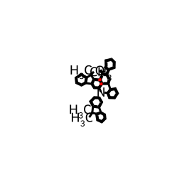 CC1(C)c2ccccc2-c2cc(N(c3ccc4c(c3)-c3ccccc3C4(C)C)c3ccccc3-c3ccc4oc5ccccc5c4c3)ccc21